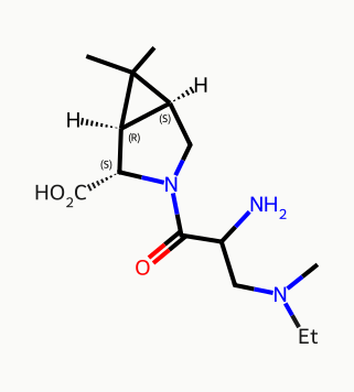 CCN(C)CC(N)C(=O)N1C[C@H]2[C@@H]([C@H]1C(=O)O)C2(C)C